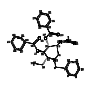 [N-]=[N+]=NC1CN(Cc2ccccc2)[C@H](CF)[C@@H](OC(=O)c2ccccc2)[C@@H]1OC(=O)c1ccccc1